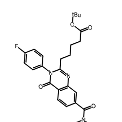 CON(C)C(=O)c1ccc2c(=O)n(-c3ccc(F)cc3)c(CCCCC(=O)OC(C)(C)C)nc2c1